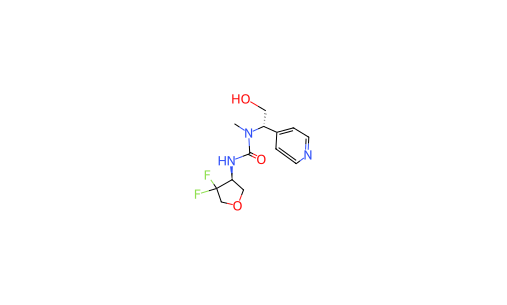 CN(C(=O)N[C@H]1COCC1(F)F)[C@H](CO)c1ccncc1